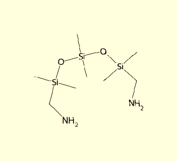 C[Si](C)(CN)O[Si](C)(C)O[Si](C)(C)CN